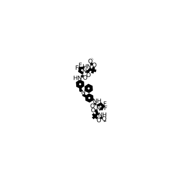 COC(=O)N[C@H](C(=O)N1CC(F)(F)C[C@H]1C(=O)Nc1ccc(CN(Cc2ccc(NC(=O)[C@@H]3CC(F)(F)CN3C(=O)[C@@H](NC(=O)OC)C(C)(C)C)cc2)c2ccccc2)cc1)C(C)(C)C